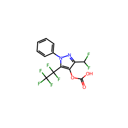 O=C(O)Oc1c(C(F)F)nn(-c2ccccc2)c1C(F)(F)C(F)(F)F